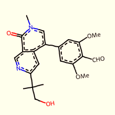 COc1cc(-c2cn(C)c(=O)c3cnc(C(C)(C)CO)cc23)cc(OC)c1C=O